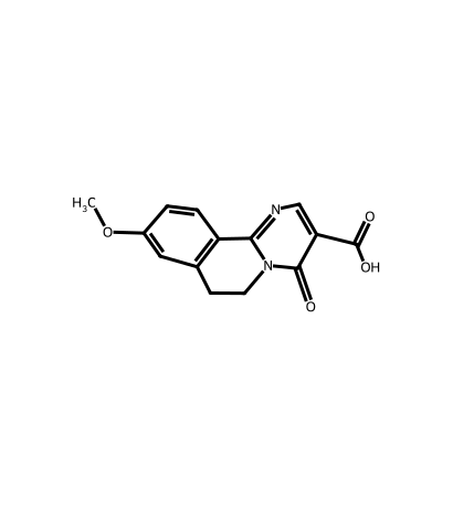 COc1ccc2c(c1)CCn1c-2ncc(C(=O)O)c1=O